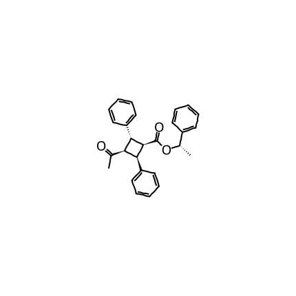 CC(=O)[C@H]1[C@H](c2ccccc2)[C@@H](C(=O)O[C@@H](C)c2ccccc2)[C@H]1c1ccccc1